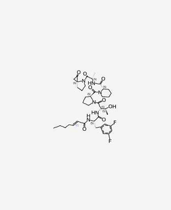 CCCC/C=C/C(=O)N[C@@H](Cc1cc(F)cc(F)c1)C(=O)N[C@H](C(=O)N1CCC[C@H]1C(=O)N1CCCC[C@H]1C(=O)N[C@@H](C)C(=O)N1CCC[C@@]12CC2=O)[C@H](C)O